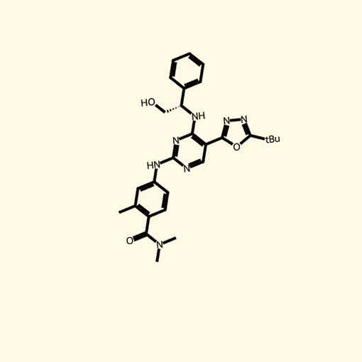 Cc1cc(Nc2ncc(-c3nnc(C(C)(C)C)o3)c(N[C@H](CO)c3ccccc3)n2)ccc1C(=O)N(C)C